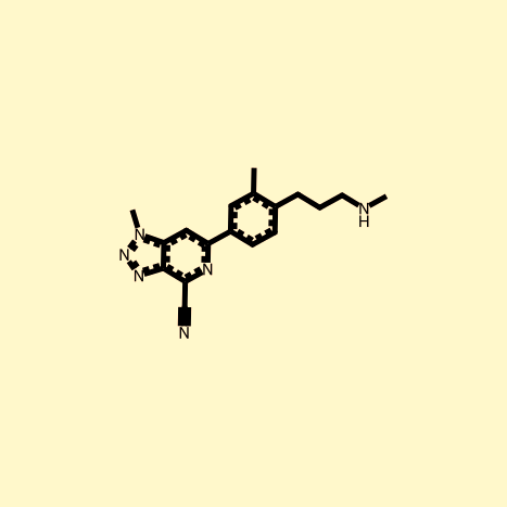 CNCCCc1ccc(-c2cc3c(nnn3C)c(C#N)n2)cc1C